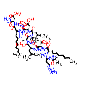 CCCCCCCC[C@H](NC(=O)[C@H](CC(=O)O)NC(=O)[C@H](CC(C)C)N(C)C(=O)[C@H](CO)NC(=O)[C@H](CC(C)C)NC(=O)[C@H](CO)NC(=O)[C@H](CCCCCCCC)NC(CCN=[N+]=N)NC(C)=O)C(=O)N[C@@H](CC(=O)O)C(N)=O